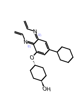 C=C/N=C1/C=C(C2CCCCC2)C=C(O[C@H]2CC[C@H](O)CC2)/C1=N/C=C